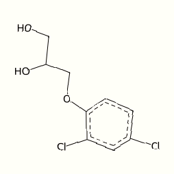 OCC(O)COc1ccc(Cl)cc1Cl